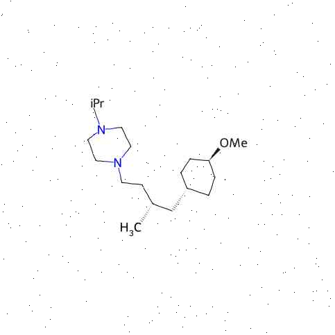 CO[C@H]1CC[C@H](C[C@H](C)CCN2CCN(C(C)C)CC2)CC1